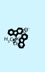 C[Si](C)=[Zr+2]([C]1=C2C=CC=CC2c2ccccc21)[C]1=C2C=CC=CC2c2ccccc21.[Cl-].[Cl-]